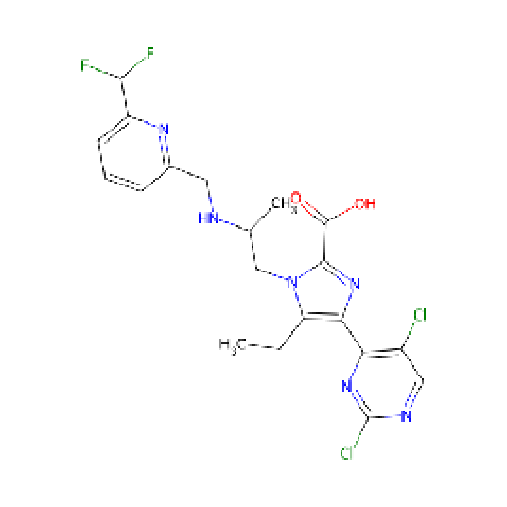 CCc1c(-c2nc(Cl)ncc2Cl)nc(C(=O)O)n1CC(C)NCc1cccc(C(F)F)n1